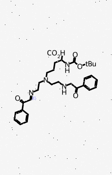 CC(C)(C)OC(=O)NC(CCCN(CC/N=C/C(=O)c1ccccc1)CCNCC(=O)c1ccccc1)C(=O)O